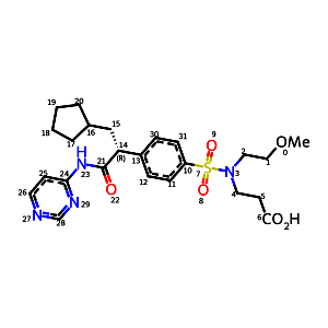 COCCN(CCC(=O)O)S(=O)(=O)c1ccc([C@@H](CC2CCCC2)C(=O)Nc2ccncn2)cc1